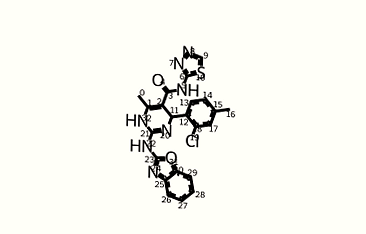 CC1=C(C(=O)Nc2nncs2)C(c2ccc(C)cc2Cl)N=C(Nc2nc3ccccc3o2)N1